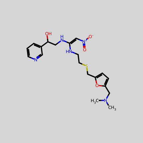 CN(C)Cc1ccc(CSCCNC(=C[N+](=O)[O-])NCC(O)c2cccnc2)o1